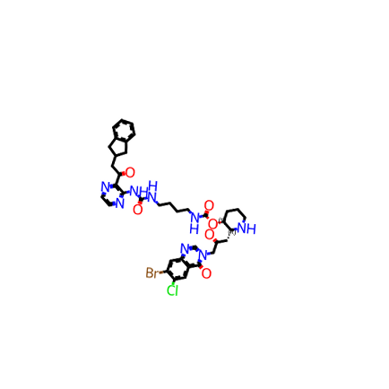 O=C(C[C@H]1NCCC[C@@H]1OC(=O)NCCCCNC(=O)Nc1nccnc1C(=O)CC1Cc2ccccc2C1)Cn1cnc2cc(Br)c(Cl)cc2c1=O